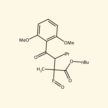 CCCCOC(=O)C(C)(P=O)C(C(=O)c1c(OC)cccc1OC)C(C)C